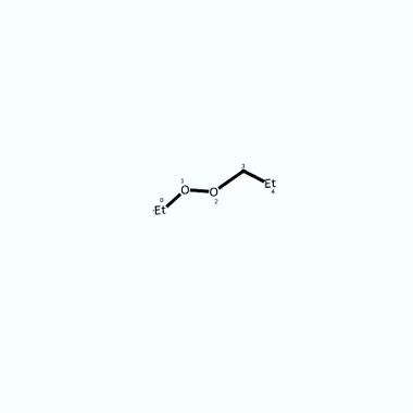 C[CH]OOCCC